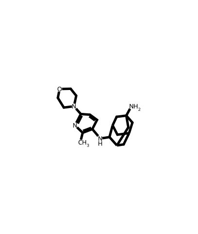 Cc1nc(N2CCOCC2)ccc1NC1C2CC3CC1CC(N)(C3)C2